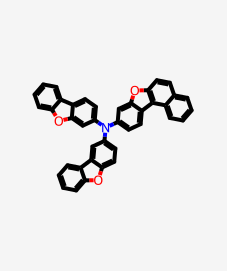 c1ccc2c(c1)ccc1oc3cc(N(c4ccc5c(c4)oc4ccccc45)c4ccc5oc6ccccc6c5c4)ccc3c12